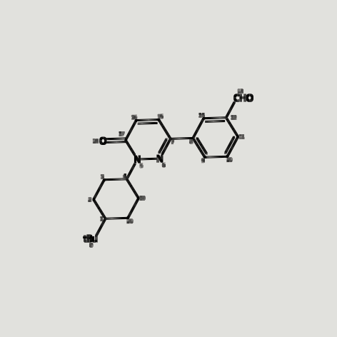 CC(C)(C)C1CCC(n2nc(-c3cccc(C=O)c3)ccc2=O)CC1